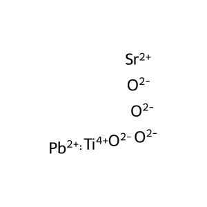 [O-2].[O-2].[O-2].[O-2].[Pb+2].[Sr+2].[Ti+4]